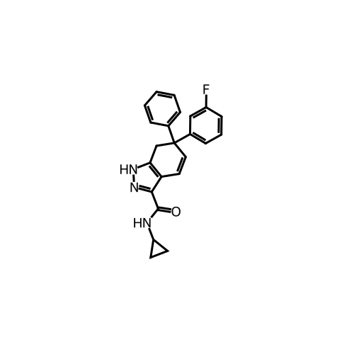 O=C(NC1CC1)c1n[nH]c2c1C=CC(c1ccccc1)(c1cccc(F)c1)C2